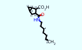 C=CCCCCCNC(=O)C1CC2CC2C1C(=O)O